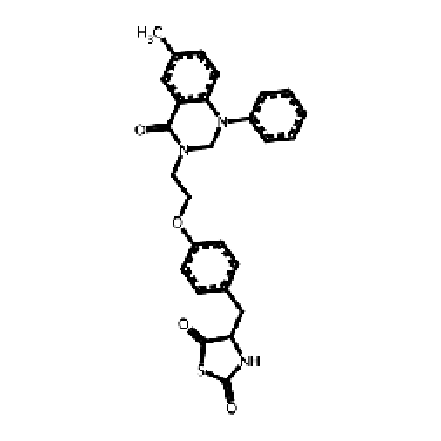 Cc1ccc2c(c1)C(=O)N(CCOc1ccc(CC3NC(=O)SC3=O)cc1)CN2c1ccccc1